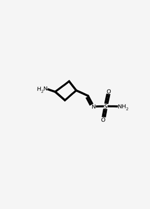 NC1CC(/C=N/S(N)(=O)=O)C1